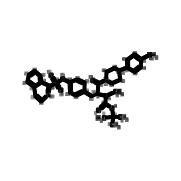 CN(C(=O)OC(C)(C)C)[C@@H](Cc1ccc(OS(=O)(=O)c2nccc3ccccc23)cc1)C(=O)N1CCN(c2ccc(N)cc2)CC1